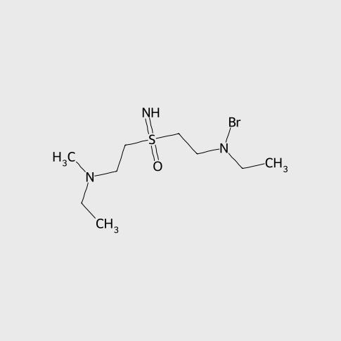 CCN(C)CCS(=N)(=O)CCN(Br)CC